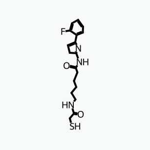 O=C(CS)NCCCCCC(=O)NC1=NC(c2ccccc2F)=CC1